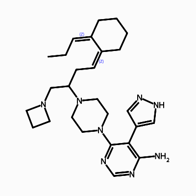 CC/C=C1/CCCC/C1=C/CC(CN1CCC1)N1CCN(c2ncnc(N)c2-c2cn[nH]c2)CC1